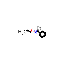 C=CCON=C(CC)c1ccccc1